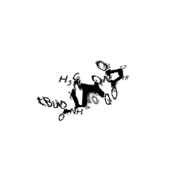 Cn1cc(NC(=O)OC(C)(C)C)cc1C(=O)ON1C(=O)CCC1=O